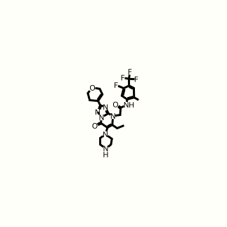 CCc1c(N2CCNCC2)c(=O)n2nc(C3=CCOCC3)nc2n1CC(=O)Nc1cc(F)c(C(F)(F)F)cc1C